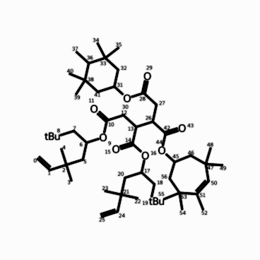 C=CC(C)(C)CC(CC(C)(C)C)OC(=O)CC(C(=O)OC(CC(C)(C)C)CC(C)(C)C=C)C(CC(=O)OC1CC(C)(C)C(C)C(C)(C)C1)C(=O)OC1CC(C)(C)C=C(C)C(C)(C)C1